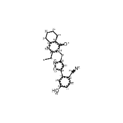 CCc1nc2c(c(=O)n1Cc1cc(-c3cc(O)ccc3C#N)on1)CCCC2